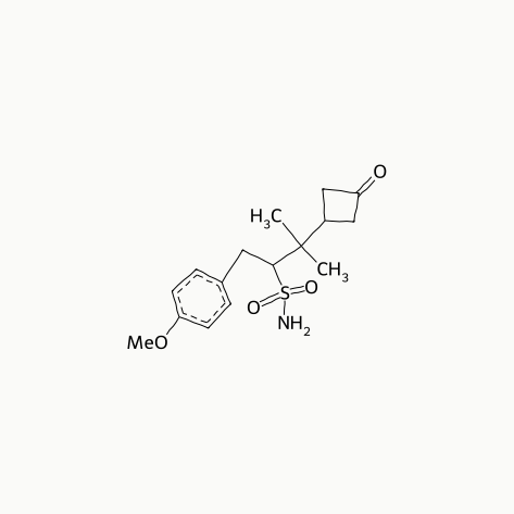 COc1ccc(CC(C(C)(C)C2CC(=O)C2)S(N)(=O)=O)cc1